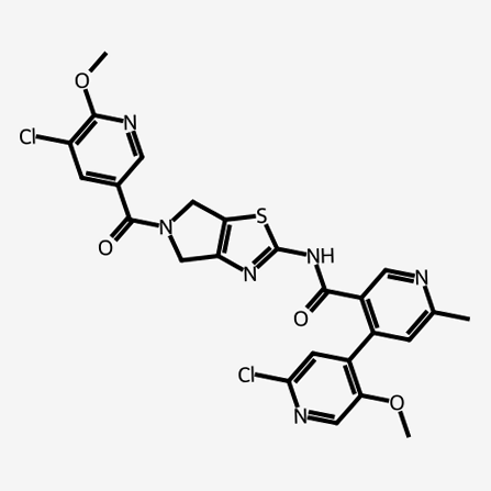 COc1cnc(Cl)cc1-c1cc(C)ncc1C(=O)Nc1nc2c(s1)CN(C(=O)c1cnc(OC)c(Cl)c1)C2